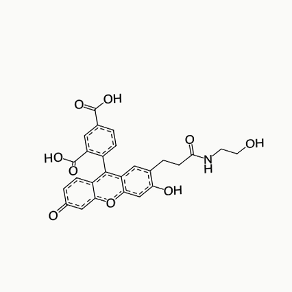 O=C(CCc1cc2c(-c3ccc(C(=O)O)cc3C(=O)O)c3ccc(=O)cc-3oc2cc1O)NCCO